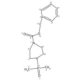 CP(C)(=O)C1CCN(C(=O)OCc2ccccc2)CC1